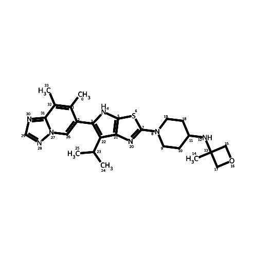 Cc1c(-c2[nH]c3sc(N4CCC(NC5(C)COC5)CC4)nc3c2C(C)C)cn2ncnc2c1C